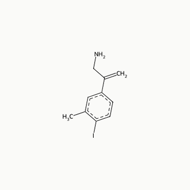 C=C(CN)c1ccc(I)c(C)c1